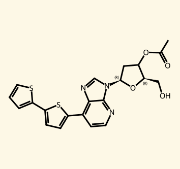 CC(=O)OC1C[C@H](n2cnc3c(-c4ccc(-c5cccs5)s4)ccnc32)O[C@@H]1CO